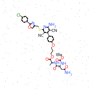 C[C@H](NC(=O)[C@H](CC(N)=O)NC(=O)OC(C)(C)C)C(=O)OC[CH]COc1ccc(-c2c(C#N)c(N)nc(SCc3coc(-c4ccc(Cl)cc4)n3)c2C#N)cc1